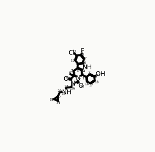 CC12Cc3c([nH]c4cc(F)c(Cl)cc34)C(c3cccc(O)c3)N1C(=O)N(CCNCC1CC1)C2=O